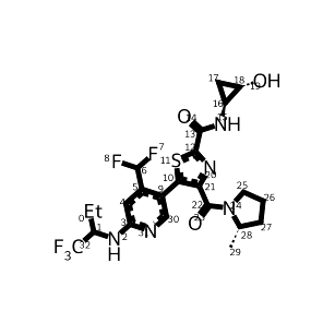 CCC(Nc1cc(C(F)F)c(-c2sc(C(=O)N[C@H]3C[C@@H]3O)nc2C(=O)N2CCC[C@@H]2C)cn1)C(F)(F)F